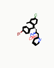 Cc1cc(Cl)ccc1[C@H](CC(Cc1ccccn1)=NO)c1ccc(Br)cc1